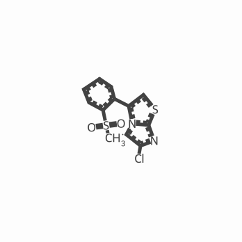 CS(=O)(=O)c1ccccc1-c1csc2nc(Cl)[c]n12